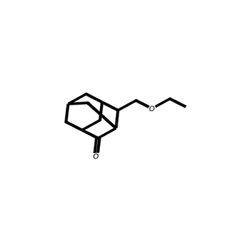 CCOCC1C2CC3CC(C2)C(=O)C1C3